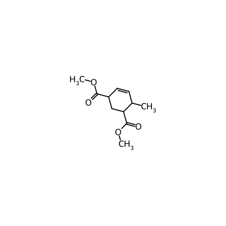 COC(=O)C1C=CC(C)C(C(=O)OC)C1